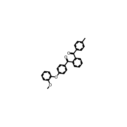 COc1ccccc1Oc1ccc(C(=O)c2ccccc2C(=O)c2ccc(C)cc2)cc1